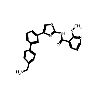 CSc1ncccc1C(=O)Nc1nc(-c2cccc(-c3ccc(CN)cc3)c2)cs1